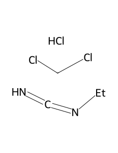 CCN=C=N.Cl.ClCCl